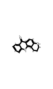 O=c1c2ccccc2oc2c3c(ccc12)OCCC3